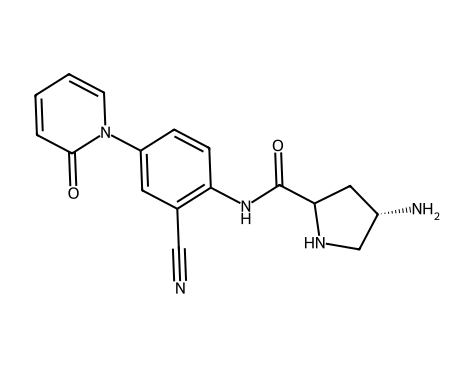 N#Cc1cc(-n2ccccc2=O)ccc1NC(=O)C1C[C@H](N)CN1